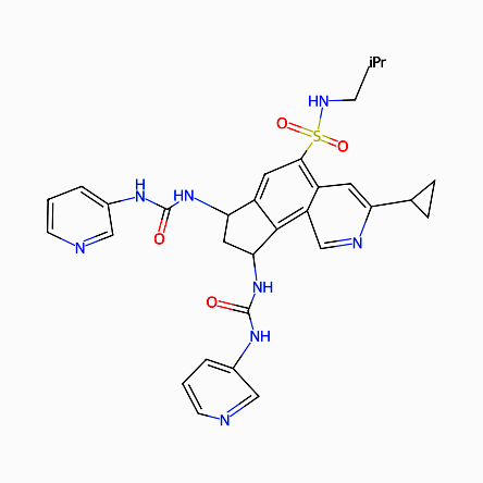 CC(C)CNS(=O)(=O)c1cc2c(c3cnc(C4CC4)cc13)C(NC(=O)Nc1cccnc1)CC2NC(=O)Nc1cccnc1